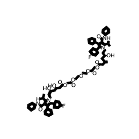 C=C(CC(=O)OCC(=O)OCCOCCOC(=O)COC(=O)C[C@H](O)C/C(O)=C\Cn1c(-c2ccc(F)cc2)c(-c2ccccc2)c(C(=O)Nc2ccccc2)c1C(C)C)C[C@H](O)CCn1c(-c2ccc(F)cc2)c(-c2ccccc2)c(C(=O)Nc2ccccc2)c1C(C)C